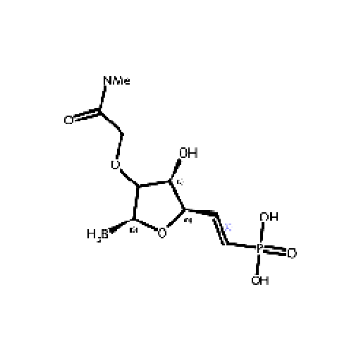 B[C@@H]1O[C@H](/C=C/P(=O)(O)O)[C@H](O)C1OCC(=O)NC